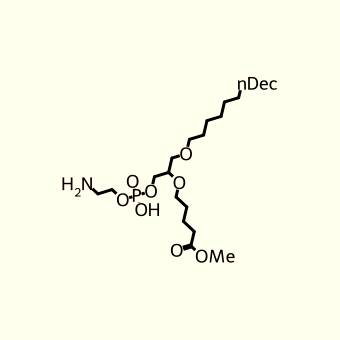 CCCCCCCCCCCCCCCCOCC(COP(=O)(O)OCCN)OCCCCC(=O)OC